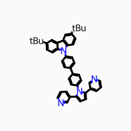 CC(C)(C)c1ccc2c(c1)c1cc(C(C)(C)C)ccc1n2-c1ccc(-c2ccc(-n3c(-c4cccnc4)ccc3-c3cccnc3)cc2)cc1